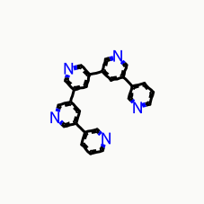 c1cncc(-c2cncc(-c3cncc(-c4cncc(-c5cccnc5)c4)c3)c2)c1